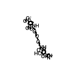 Cn1cc([C@@H]2CO[C@H](C(=O)NCCOCCOCCOCCNc3ccc([N+](=O)[O-])cc3[N+](=O)[O-])[C@H](O)[C@@H]2O)cn1